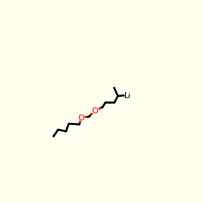 [Li][CH](C)CCCOCOCCCCC